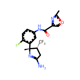 Cc1nc(C(=O)Nc2ccc(F)c([C@@]3(C)N=C(N)C[C@H]3C(F)(F)F)c2)co1